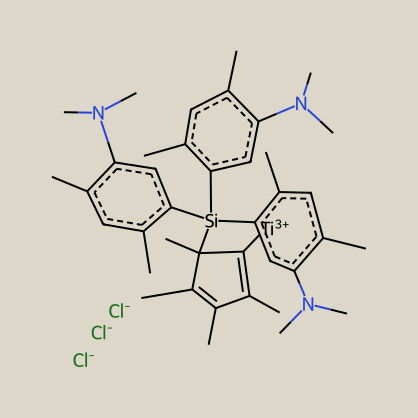 CC1=C(C)C(C)([Si](c2cc(N(C)C)c(C)cc2C)(c2cc(N(C)C)c(C)cc2C)c2cc(N(C)C)c(C)cc2C)[C]([Ti+3])=C1C.[Cl-].[Cl-].[Cl-]